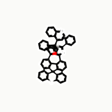 c1ccc(-c2nc(-c3ccccc3)nc(-c3cccc4c3-c3c(-c5ccc(-c6ccnc7ccccc67)cc5)cccc3C43c4ccccc4Oc4ccccc43)n2)cc1